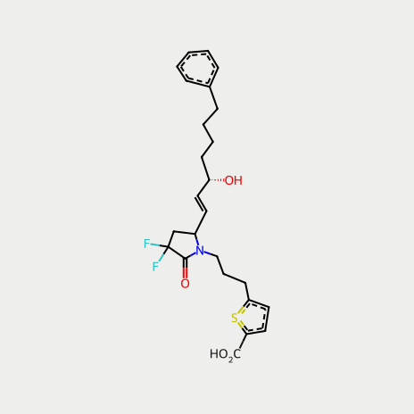 O=C(O)c1ccc(CCCN2C(=O)C(F)(F)CC2/C=C/[C@@H](O)CCCCc2ccccc2)s1